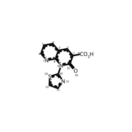 O=C(O)c1cc2cccnc2n(-c2nccs2)c1=O